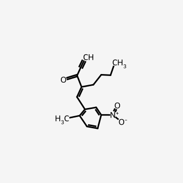 C#CC(=O)/C(=C/c1cc([N+](=O)[O-])ccc1C)CCCC